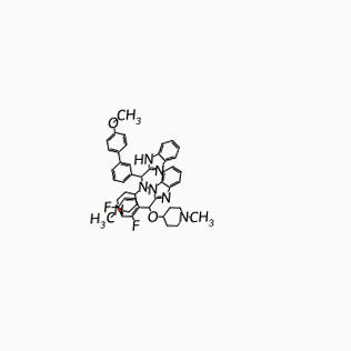 COc1ccc(-c2cccc(C(c3nc4ccccc4[nH]3)N(C3CCN(C)CC3)n3c(C(OC4CCN(C)CC4)c4ccc(F)cc4F)nc4ccccc43)c2)cc1